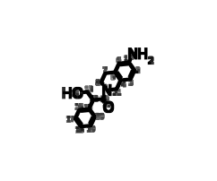 Nc1ccc2c(c1)CCN(C(=O)C(CO)c1ccccc1)C2